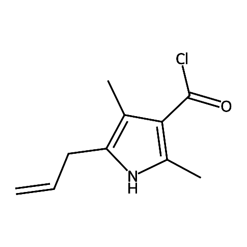 C=CCc1[nH]c(C)c(C(=O)Cl)c1C